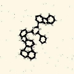 c1ccc(-c2nc(-c3cccc4c3sc3ccccc34)nc(-c3cccc4sc5c6c(ccc5c34)-c3cccc4cccc-6c34)n2)cc1